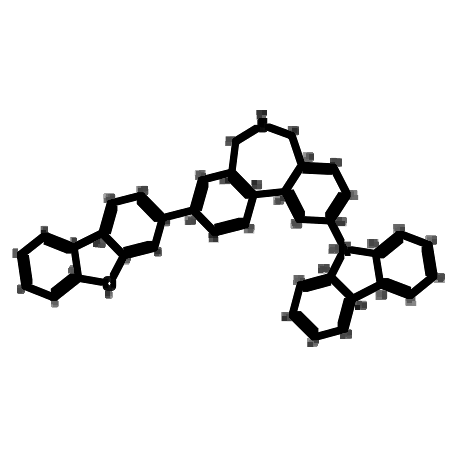 c1ccc2c(c1)oc1cc(-c3ccc4c(c3)CSCc3ccc(-n5c6ccccc6c6ccccc65)cc3-4)ccc12